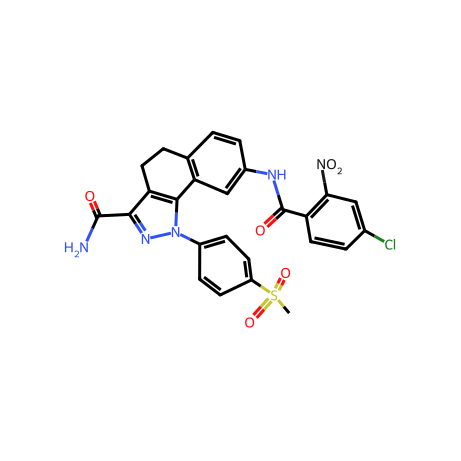 CS(=O)(=O)c1ccc(-n2nc(C(N)=O)c3c2-c2cc(NC(=O)c4ccc(Cl)cc4[N+](=O)[O-])ccc2CC3)cc1